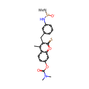 CN[S+]([O-])Nc1cccc(Cc2c(C)c3ccc(OC(=O)N(C)C)cc3oc2=S)c1